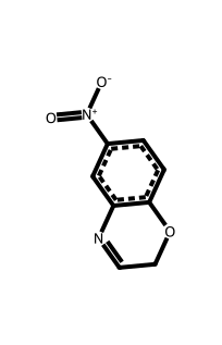 O=[N+]([O-])c1ccc2c(c1)N=CCO2